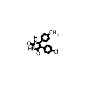 Cc1ccc(-c2[nH]c(=O)[nH]c(=O)c2-c2ccc(Cl)cc2)cc1